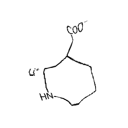 O=C([O-])C1CCCNC1.[Li+]